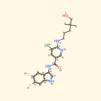 CC(C)(CO)CCCNc1ncc(C(=O)Nc2c[nH]c3cc(F)c(F)cc23)cc1Cl